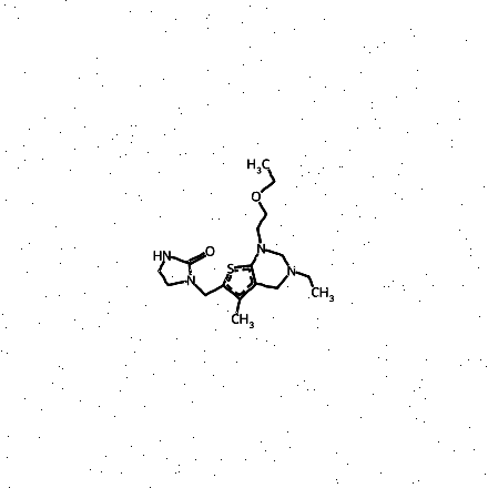 CCOCCN1CN(CC)Cc2c1sc(CN1CCNC1=O)c2C